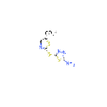 Nc1nnc(Sc2ncc(C(=O)O)s2)s1